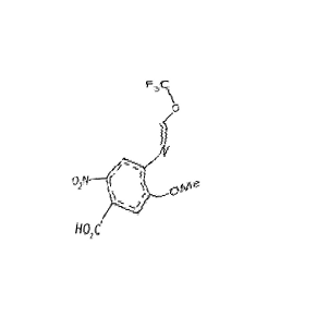 COc1cc(C(=O)O)c([N+](=O)[O-])cc1N=COC(F)(F)F